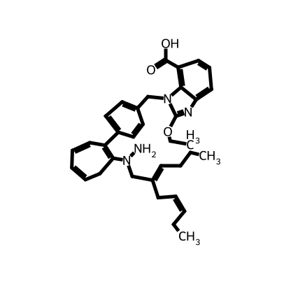 CC/C=C\CC(=CCCC)CN(N)C1=C(c2ccc(Cn3c(OCC)nc4cccc(C(=O)O)c43)cc2)C=CC=CC1